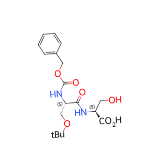 CC(C)(C)OC[C@H](NC(=O)OCc1ccccc1)C(=O)N[C@@H](CO)C(=O)O